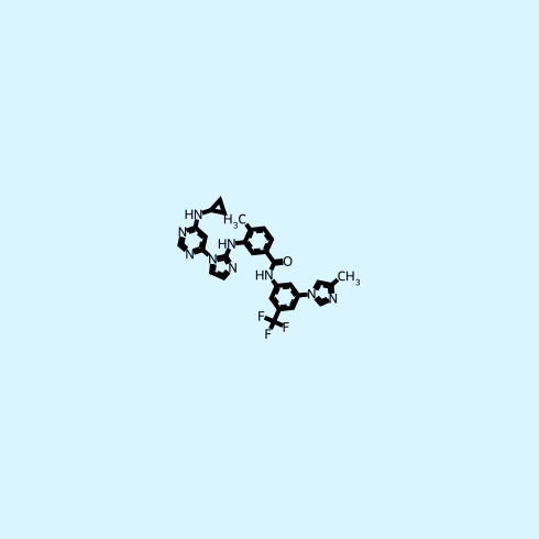 Cc1cn(-c2cc(NC(=O)c3ccc(C)c(Nc4nccn4-c4cc(NC5CC5)ncn4)c3)cc(C(F)(F)F)c2)cn1